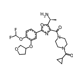 C[C@H](N)c1oc(-c2ccc(OC(F)F)c(OC3CCOC3)c2)nc1C(=O)N1CCN(C(=O)C2CC2)CC1